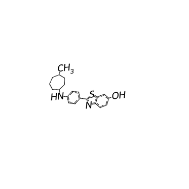 CC1CCCC(Nc2ccc(-c3nc4ccc(O)cc4s3)cc2)CC1